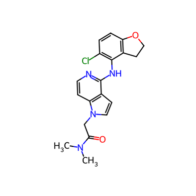 CN(C)C(=O)Cn1ccc2c(Nc3c(Cl)ccc4c3CCO4)nccc21